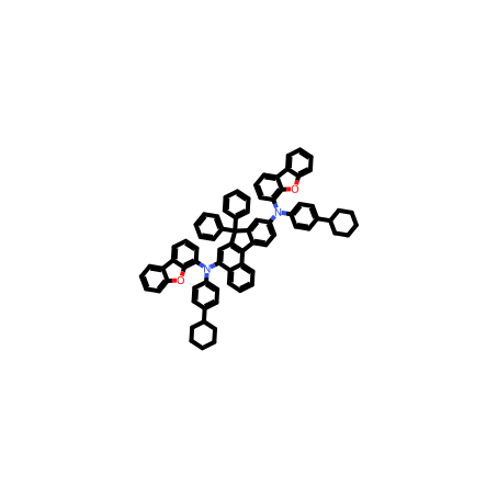 c1ccc(C2(c3ccccc3)c3cc(N(c4ccc(C5CCCCC5)cc4)c4cccc5c4oc4ccccc45)ccc3-c3c2cc(N(c2ccc(C4CCCCC4)cc2)c2cccc4c2oc2ccccc24)c2ccccc32)cc1